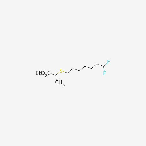 CCOC(=O)C(C)SCCCCCCC(F)F